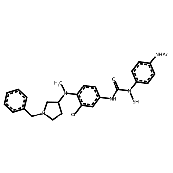 CC(=O)Nc1ccc(N(S)C(=O)Nc2ccc(N(C)C3CCN(Cc4ccccc4)C3)c(Cl)c2)cc1